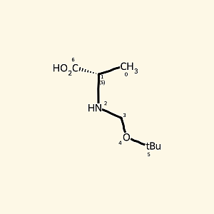 C[C@H](NCOC(C)(C)C)C(=O)O